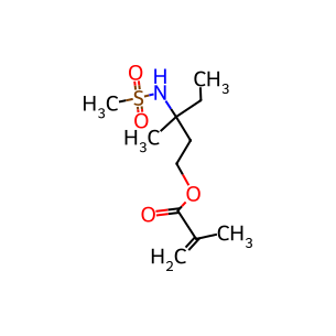 C=C(C)C(=O)OCCC(C)(CC)NS(C)(=O)=O